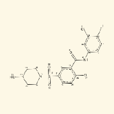 O=C(Nc1ccc(F)c(Cl)c1)c1cc(S(=O)(=O)N2CCC(O)CC2)ccc1Cl